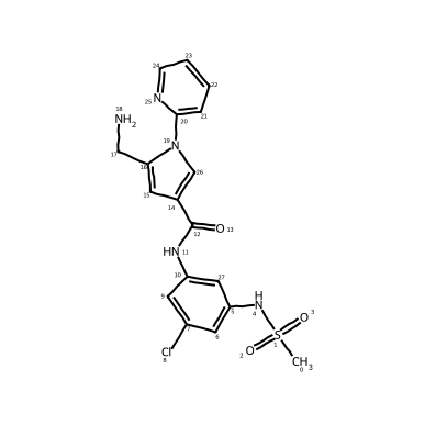 CS(=O)(=O)Nc1cc(Cl)cc(NC(=O)c2cc(CN)n(-c3ccccn3)c2)c1